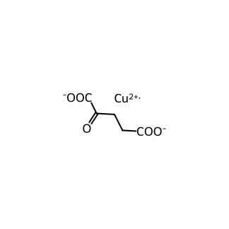 O=C([O-])CCC(=O)C(=O)[O-].[Cu+2]